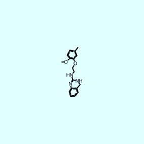 COc1ccc(C)cc1OCCNC1=Nc2ccccc2CN1